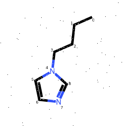 C[CH]CCn1ccnc1